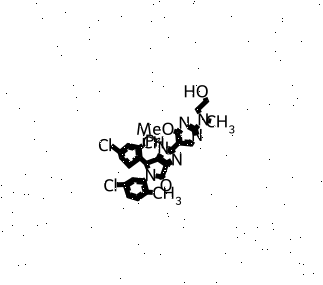 COc1nc(N(C)CCO)ncc1-c1nc2c(n1C(C)C)C(c1ccc(Cl)cc1C)N(c1cc(Cl)ccc1C)C2=O